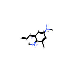 C=C/C=C1/C=C(NC)C=C(C)/C1=N/C